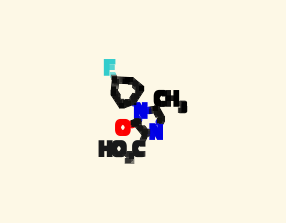 Cc1cnc(C(=O)O)c(=O)n1-c1ccc(F)cc1